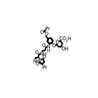 CC(C)C(=O)OCc1ccc(O[C@@H]2C[C@H](O)C[C@H](C(=O)O)O2)c(NC(=O)CCNC(=O)C(CN)N2C(=O)CC(C(C)C)C2=O)c1